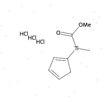 CO[C](=O)[Ti]([CH3])[C]1=CC=CC1.Cl.Cl.Cl